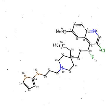 COc1ccc2ncc(Cl)c([C@H](F)CCC3(CC(=O)O)CCN(CCCSc4cccs4)CC3)c2c1